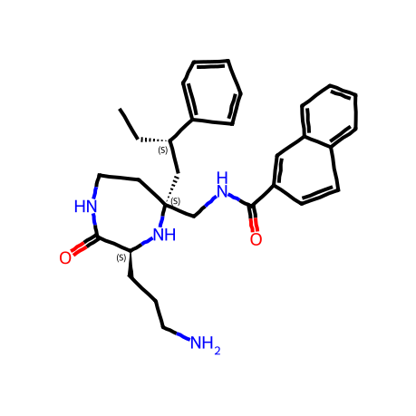 CC[C@@H](C[C@@]1(CNC(=O)c2ccc3ccccc3c2)CCNC(=O)[C@H](CCCN)N1)c1ccccc1